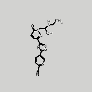 CCNC(O)Cn1nc(-c2nsc(-c3ccc(C#N)nc3)n2)ccc1=O